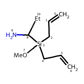 C=CC[Si](CC=C)(OC)C(N)CC